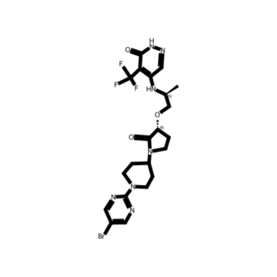 C[C@@H](CO[C@@H]1CCN(C2CCN(c3ncc(Br)cn3)CC2)C1=O)Nc1cn[nH]c(=O)c1C(F)(F)F